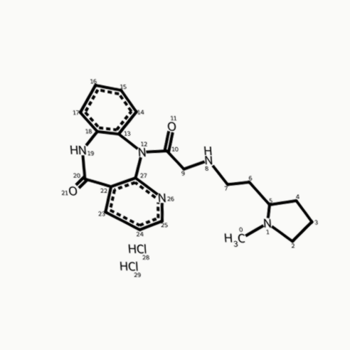 CN1CCCC1CCNCC(=O)N1c2ccccc2NC(=O)c2cccnc21.Cl.Cl